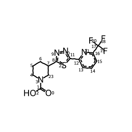 O=C(O)N1CCCC(c2nnc(-c3cccc(C(F)(F)F)n3)s2)C1